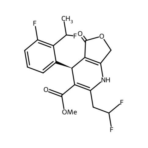 COC(=O)C1=C(CC(F)F)NC2=C(C(=O)OC2)[C@@H]1c1cccc(F)c1C(C)F